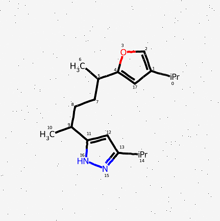 CC(C)c1coc(C(C)CCC(C)c2cc(C(C)C)n[nH]2)c1